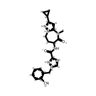 CN1C(=O)C(NC(=O)c2ncn(Cc3ccccc3C#N)n2)CCn2nc(C3CC3)cc21